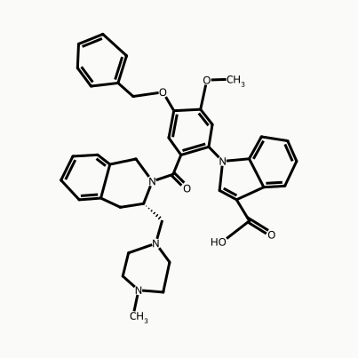 COc1cc(-n2cc(C(=O)O)c3ccccc32)c(C(=O)N2Cc3ccccc3C[C@H]2CN2CCN(C)CC2)cc1OCc1ccccc1